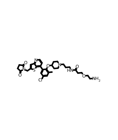 Cc1cc(Cl)cc(-c2ccnc3cc(CN4C(=O)CCC4=O)sc23)c1OC1CCN(CCCNC(=O)CCOCCN)CC1